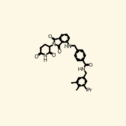 Cc1cc(CNC(=O)c2ccc(CNc3cccc4c3C(=O)N(C3CCC(=O)NC3=O)C4=O)cc2)cc(C(C)C)c1C